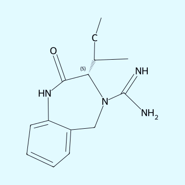 CCC(C)[C@H]1C(=O)Nc2ccccc2CN1C(=N)N